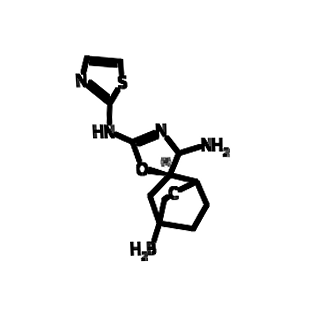 BC12CCC(CC1)[C@@]1(C2)OC(Nc2nccs2)=NC1N